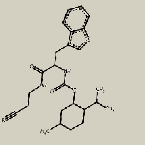 CC1CCC(C(C)C)C(OC(=O)NC(Cc2csc3ccccc23)C(=O)NCCC#N)C1